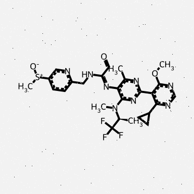 COc1ncnc(C2CC2)c1-c1nc(C)c(/N=C(\C=O)NCc2ccc([S+](C)[O-])cn2)c(N(C)[C@@H](C)C(F)(F)F)n1